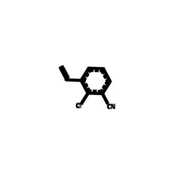 C=[C]c1cccc(C#N)c1Cl